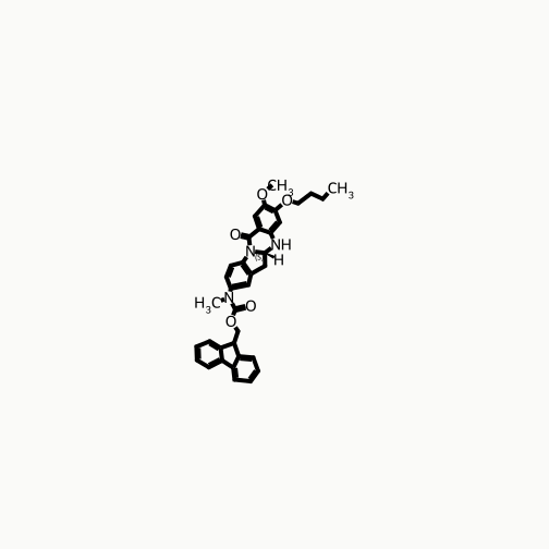 CCCCOc1cc2c(cc1OC)C(=O)N1c3ccc(N(C)C(=O)OCC4c5ccccc5-c5ccccc54)cc3C[C@H]1N2